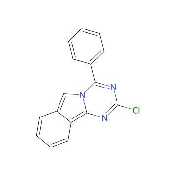 Clc1nc(-c2ccccc2)n2cc3ccccc3c2n1